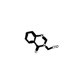 O=C[CH]n1cnc2ccccc2c1=O